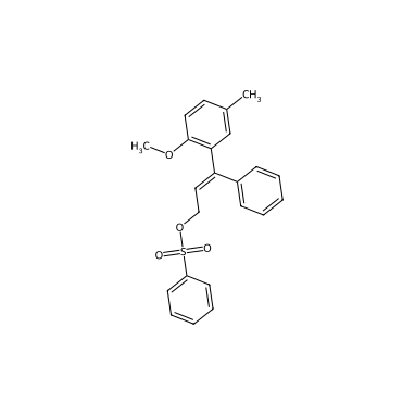 COc1ccc(C)cc1C(=CCOS(=O)(=O)c1ccccc1)c1ccccc1